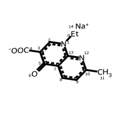 CCn1cc(C(=O)[O-])c(=O)c2ccc(C)nc21.[Na+]